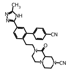 Cc1nnc(-c2ccc(CCN3CCN4CCN(C#N)CC4C3=O)c(-c3ccc(C#N)cc3)c2)[nH]1